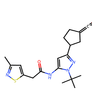 Cc1cc(CC(=O)Nc2cc(C3CCC(=C=O)C3)nn2C(C)(C)C)sn1